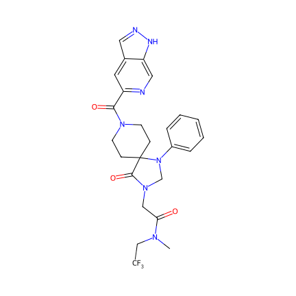 CN(CC(F)(F)F)C(=O)CN1CN(c2ccccc2)C2(CCN(C(=O)c3cc4cn[nH]c4cn3)CC2)C1=O